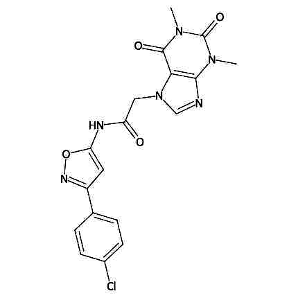 Cn1c(=O)c2c(ncn2CC(=O)Nc2cc(-c3ccc(Cl)cc3)no2)n(C)c1=O